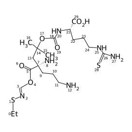 CCSN=COC(=O)[C@](N)(CCCN)CC(C)(C)OC(=O)N[C@@H](CCCNC(N)=S)C(=O)O